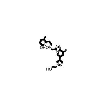 Cc1cccnc1/C=C\N(C=O)Cc1nnc2c(F)cc(-c3cnn(CCO)c3)cn12